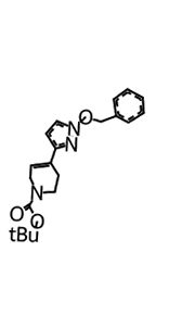 CC(C)(C)OC(=O)N1CC=C(c2ccn(OCc3ccccc3)n2)CC1